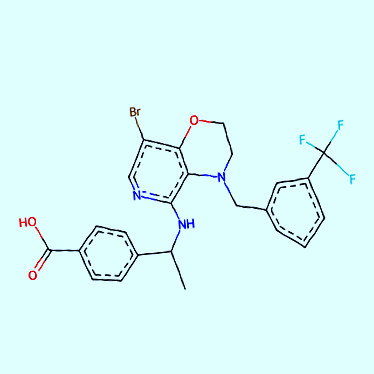 CC(Nc1ncc(Br)c2c1N(Cc1cccc(C(F)(F)F)c1)CCO2)c1ccc(C(=O)O)cc1